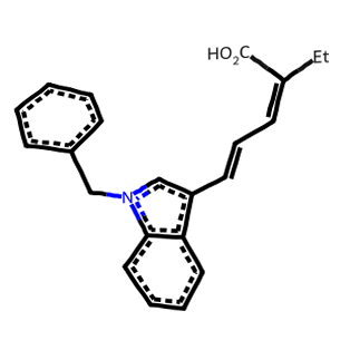 CCC(=CC=Cc1cn(Cc2ccccc2)c2ccccc12)C(=O)O